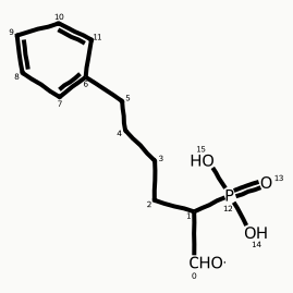 O=[C]C(CCCCc1ccccc1)P(=O)(O)O